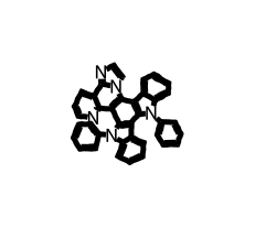 c1ccc(-n2c3ccccc3c3c2c2c4ccccc4n(-c4ccccc4)c2c2c4ncccc4c4nccn4c32)cc1